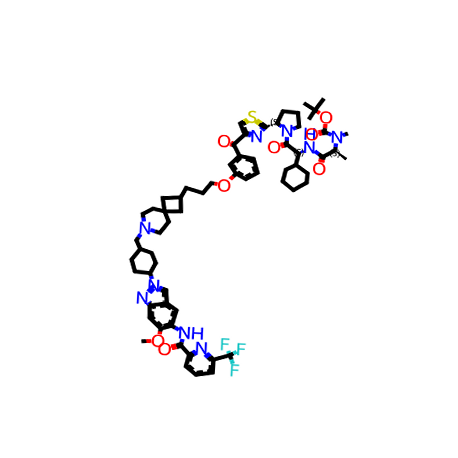 COc1cc2nn(C3CCC(CN4CCC5(CC4)CC(CCCOc4cccc(C(=O)c6csc([C@@H]7CCCN7C(=O)[C@@H](NC(=O)[C@H](C)N(C)C(=O)OC(C)(C)C)C7CCCCC7)n6)c4)C5)CC3)cc2cc1NC(=O)c1cccc(C(F)(F)F)n1